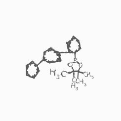 CC1(C)OB(c2ccccc2-c2ccc(-c3ccccc3)cc2)OC1(C)C